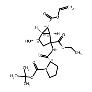 C=COC(=O)[C@H]1[C@H]2[C@@H]1C(NC(=O)[C@@H]1CCCN1C(=O)OC(C)(C)C)(C(=O)OCC)C[C@@H]2O